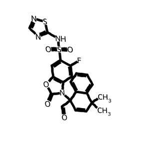 CC1(C)C=CC(C=O)(n2c(=O)oc3cc(S(=O)(=O)Nc4ncns4)c(F)cc32)c2ccccc21